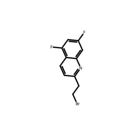 Fc1cc(F)c2ccc(CCBr)nc2c1